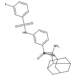 NC(=O)C12CC3CC(C1)C(NC(=O)c1cccc(NS(=O)(=O)c4cccc(F)c4)c1)C(C3)C2